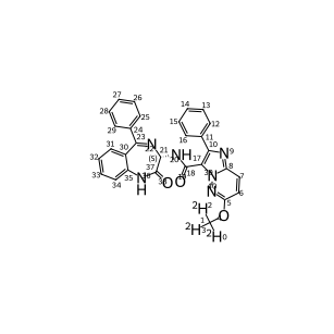 [2H]C([2H])([2H])Oc1ccc2nc(-c3ccccc3)c(C(=O)N[C@H]3N=C(c4ccccc4)c4ccccc4NC3=O)n2n1